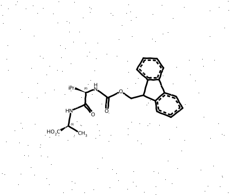 CC(C)[C@@H](NC(=O)OCC1c2ccccc2-c2ccccc21)C(=O)N[C@@H](C)C(=O)O